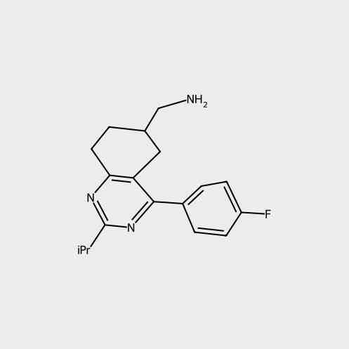 CC(C)c1nc2c(c(-c3ccc(F)cc3)n1)CC(CN)CC2